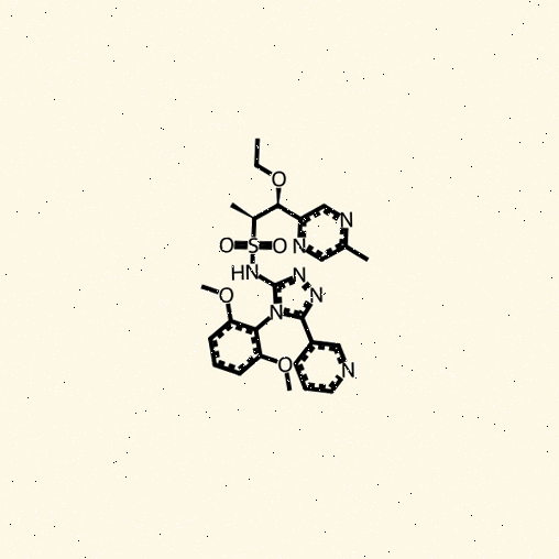 CCO[C@@H](c1cnc(C)cn1)[C@H](C)S(=O)(=O)Nc1nnc(-c2cccnc2)n1-c1c(OC)cccc1OC